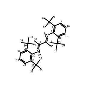 CC(=Nc1c(C(C)(C)C)cccc1C(C)(C)C)C(C)=Nc1c(C(C)(C)C)cccc1C(C)(C)C